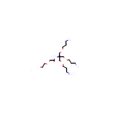 CCCOCCOCC(=O)NC(COCCCN)(COCCCN)COCCCN